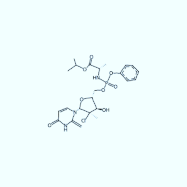 C=C1NC(=O)C=CN1[C@@H]1O[C@H](COP(=O)(N[C@@H](C)C(=O)OC(C)C)Oc2ccccc2)[C@@H](O)[C@@]1(C)Cl